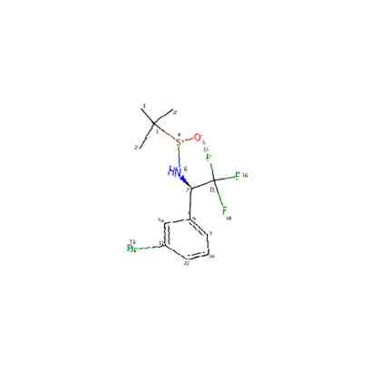 CC(C)(C)[S+]([O-])N[C@H](c1cccc(Br)c1)C(F)(F)F